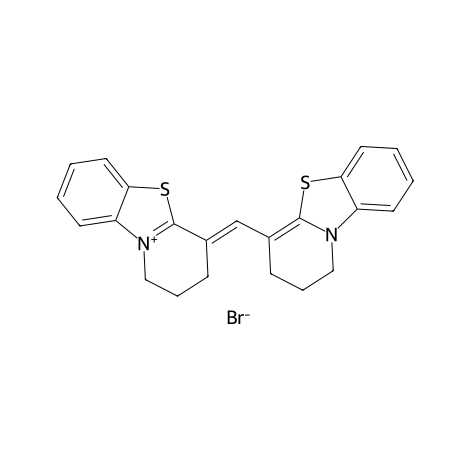 C(=C1CCC[n+]2c1sc1ccccc12)C1=C2Sc3ccccc3N2CCC1.[Br-]